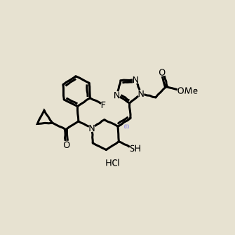 COC(=O)Cn1ncnc1/C=C1\CN(C(C(=O)C2CC2)c2ccccc2F)CCC1S.Cl